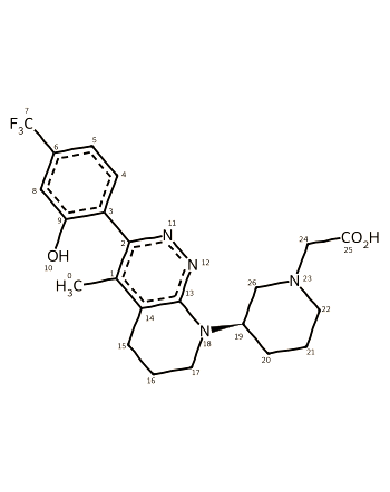 Cc1c(-c2ccc(C(F)(F)F)cc2O)nnc2c1CCCN2[C@@H]1CCCN(CC(=O)O)C1